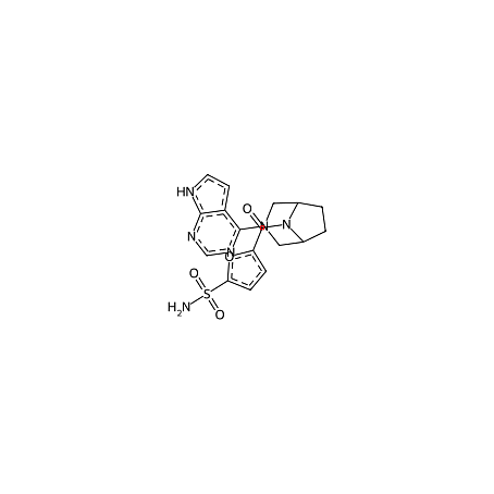 NS(=O)(=O)c1ccc(C(=O)N2C3CCC2CN(c2ncnc4[nH]ccc24)C3)o1